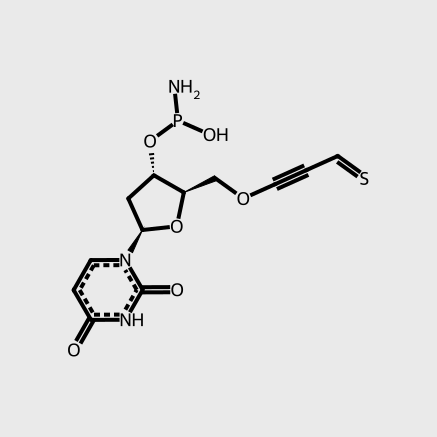 NP(O)O[C@H]1C[C@H](n2ccc(=O)[nH]c2=O)O[C@@H]1COC#CC=S